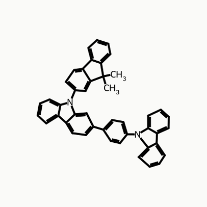 CC1(C)c2ccccc2-c2ccc(-n3c4ccccc4c4ccc(-c5ccc(-n6c7ccccc7c7ccccc76)cc5)cc43)cc21